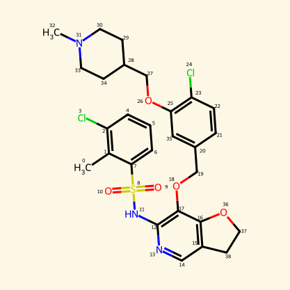 Cc1c(Cl)cccc1S(=O)(=O)Nc1ncc2c(c1OCc1ccc(Cl)c(OCC3CCN(C)CC3)c1)OCC2